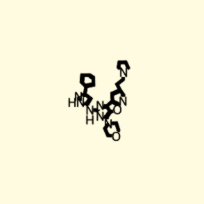 c1ccc(-c2cc(Nc3nc(N4CCOCC4)c4oc5ncc(CCN6CCCC6)cc5c4n3)[nH]n2)cc1